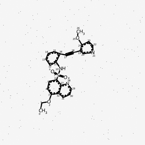 CCOc1ccc(S(=O)(=O)Nc2ccccc2C#Cc2cnccc2OC)c2ncccc12